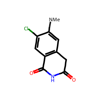 CNc1cc2c(cc1Cl)C(=O)NC(=O)C2